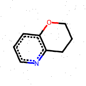 [CH]1CCc2ncccc2O1